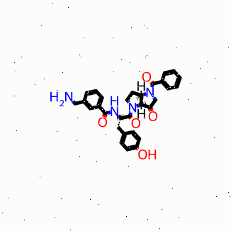 NCc1cccc(C(=O)N[C@@H](Cc2ccc(O)cc2)C(=O)N2CC[C@@H]3[C@H]2C(=O)CN3C(=O)c2ccccc2)c1